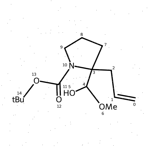 C=CCC1(C(O)OC)CCCN1C(=O)OC(C)(C)C